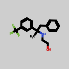 CC(Cc1ccccc1)(NCCO)c1cccc(C(F)(F)F)c1